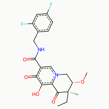 CC[C@@]1(C)C(=O)c2c(O)c(=O)c(C(=O)NCc3ccc(F)cc3F)cn2C[C@@H]1OC